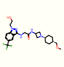 COC[C@H]1CC[C@@H](N2CC(NC(=O)CNc3nn(CCO)c4ccc(C(F)(F)F)cc34)C2)CC1